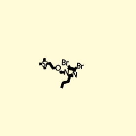 CCCc1nc(Br)c(Br)n1COCC[Si](C)(C)C